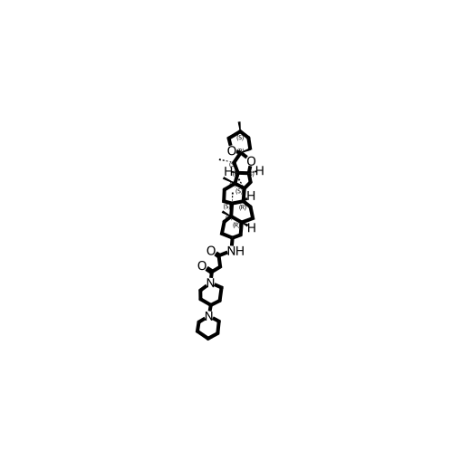 C[C@H]1CC[C@@]2(OC1)O[C@H]1C[C@@]3(C)[C@@H]4CC[C@@H]5CC(NC(=O)CC(=O)N6CCC(N7CCCCC7)CC6)CC[C@]5(C)[C@@]4(C)CC[C@]3(C)[C@H]1[C@@H]2C